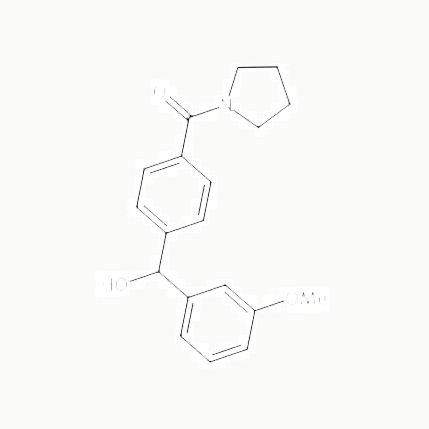 COc1cccc(C(O)c2ccc(C(=O)N3CCCC3)cc2)c1